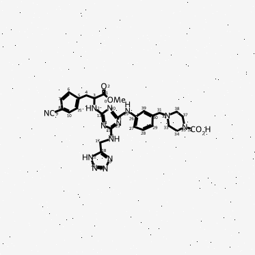 COC(=O)C(Cc1ccc(C#N)cc1)Nc1nc(NCc2nnn[nH]2)nc(Nc2cccc(CN3CCN(C(=O)O)CC3)c2)n1